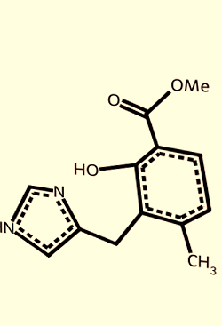 COC(=O)c1ccc(C)c(Cc2c[nH]cn2)c1O